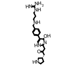 N=C(N)NCCCNCc1ccc(C2=CNC(CC(=O)C[C@@H]3CCNC3)=NC2O)cc1